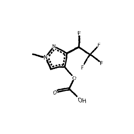 Cn1cc(OC(=O)O)c(C(F)C(F)(F)F)n1